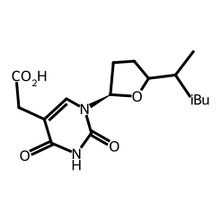 CCC(C)C(C)C1CC[C@H](n2cc(CC(=O)O)c(=O)[nH]c2=O)O1